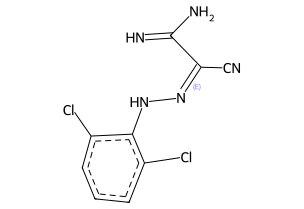 N#C/C(=N/Nc1c(Cl)cccc1Cl)C(=N)N